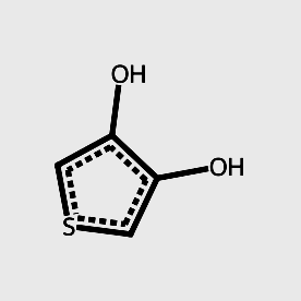 Oc1cscc1O